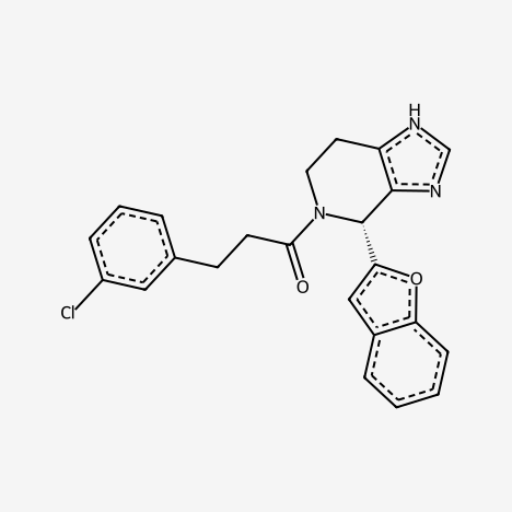 O=C(CCc1cccc(Cl)c1)N1CCc2[nH]cnc2[C@@H]1c1cc2ccccc2o1